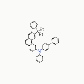 CCC1(CC)c2ccccc2-c2cc3ccc4ccc(N(c5ccccc5)c5ccc(-c6ccccc6)cc5)cc4c3cc21